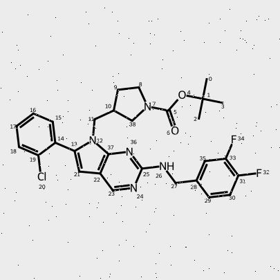 CC(C)(C)OC(=O)N1CCC(Cn2c(-c3ccccc3Cl)cc3cnc(NCc4ccc(F)c(F)c4)nc32)C1